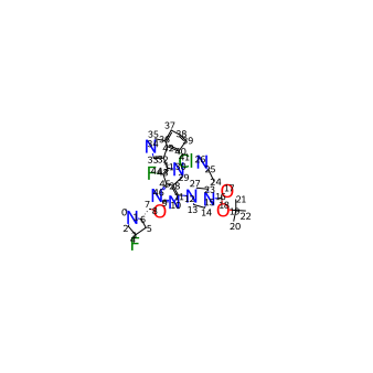 CN1C[C@H](F)C[C@H]1COc1nc(N2CCN(C(=O)OC(C)(C)C)[C@@H](CC#N)C2)c2cnc(-c3cncc4cccc(Cl)c34)c(F)c2n1